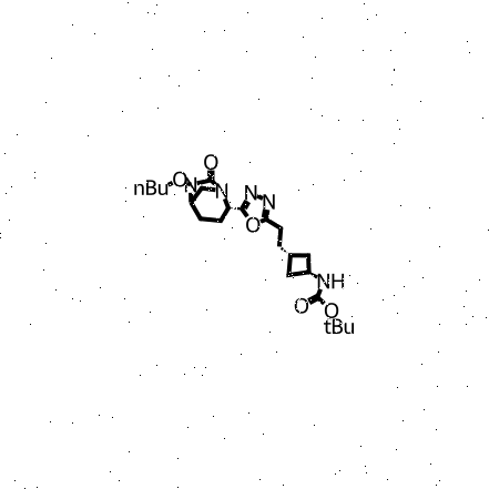 CCCCON1C(=O)N2CC1CC[C@H]2c1nnc(CC[C@H]2C[C@H](NC(=O)OC(C)(C)C)C2)o1